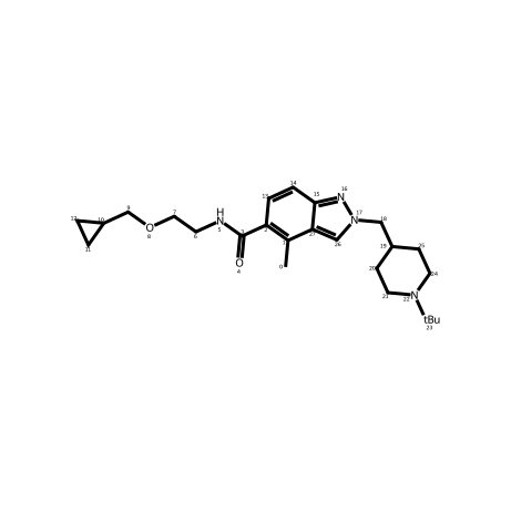 Cc1c(C(=O)NCCOCC2CC2)ccc2nn(CC3CCN(C(C)(C)C)CC3)cc12